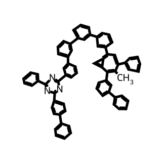 CC1=C(c2cccc(-c3ccccc3)c2)C2=CC2=C(c2cccc(-c3cccc(-c4cccc(-c5cccc(-c6nc(-c7ccccc7)nc(-c7ccc(-c8ccccc8)cc7)n6)c5)c4)c3)c2)C=C1c1ccccc1